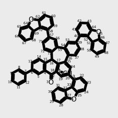 COC(=O)c1cc(-c2ccccc2)ccc1C1c2ccc(-c3cccc4oc5ccccc5c34)cc2-c2ccc(-c3cccc4oc5ccccc5c34)cc2-c2cc(-c3cccc4oc5ccccc5c34)ccc21